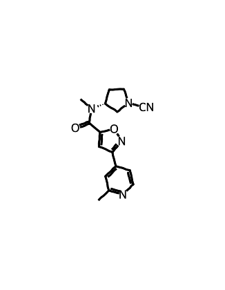 Cc1cc(-c2cc(C(=O)N(C)[C@@H]3CCN(C#N)C3)on2)ccn1